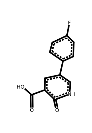 O=C(O)c1cc(-c2ccc(F)cc2)c[nH]c1=O